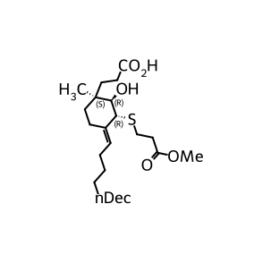 CCCCCCCCCCCCCC=C1CC[C@@](C)(CCC(=O)O)[C@@H](O)[C@@H]1SCCC(=O)OC